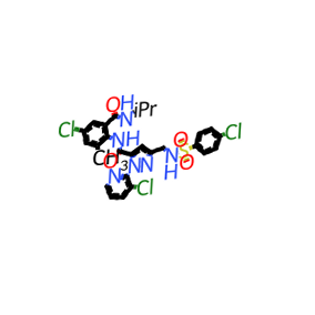 Cc1cc(Cl)cc(C(=O)NC(C)C)c1NC(=O)c1cc(CNS(=O)(=O)c2ccc(Cl)cc2)nn1-c1ncccc1Cl